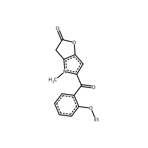 CCOc1ccccc1C(=O)c1cc2c(n1C)CC(=O)O2